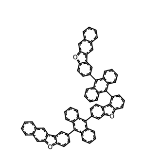 c1ccc2cc3c(cc2c1)oc1ccc(-c2c4ccccc4c(-c4ccc5c(c4)oc4cccc(-c6c7ccccc7c(-c7ccc8oc9cc%10ccccc%10cc9c8c7)c7ccccc67)c45)c4ccccc24)cc13